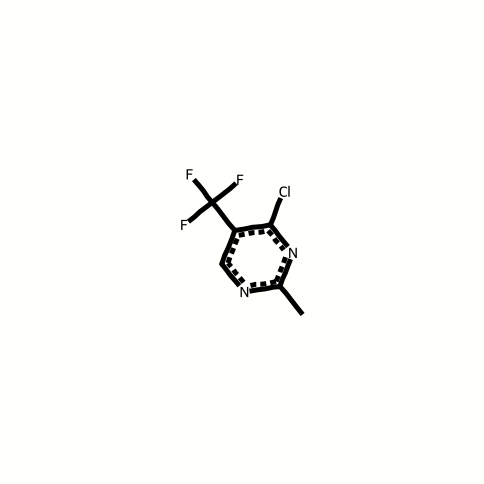 Cc1ncc(C(F)(F)F)c(Cl)n1